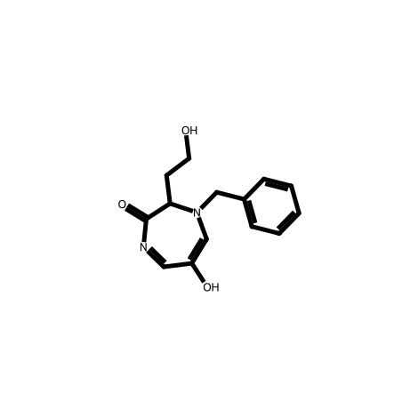 O=C1N=CC(O)=CN(Cc2ccccc2)C1CCO